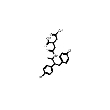 CC(NC(=O)CC(CC(=O)O)C(=O)O)C(Cc1ccc(Cl)cc1)c1ccc(Br)cc1